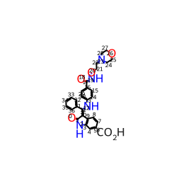 O=C1Nc2cc(C(=O)O)ccc2/C1=C(\Nc1ccc(C(=O)NOCCN2CCOCC2)cc1)c1ccccc1